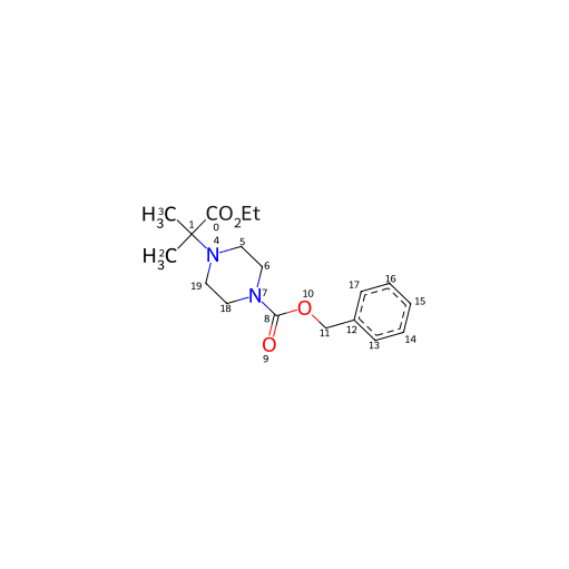 CCOC(=O)C(C)(C)N1CCN(C(=O)OCc2ccccc2)CC1